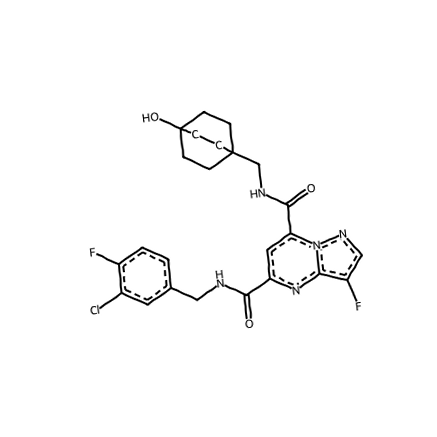 O=C(NCc1ccc(F)c(Cl)c1)c1cc(C(=O)NCC23CCC(O)(CC2)CC3)n2ncc(F)c2n1